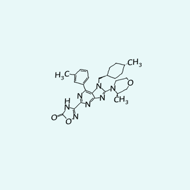 Cc1cccc(-c2nc(-c3noc(=O)[nH]3)nc3nc(N4CCOC[C@H]4C)n(C[C@H]4CC[C@H](C)CC4)c23)c1